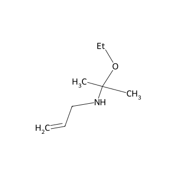 C=CCNC(C)(C)OCC